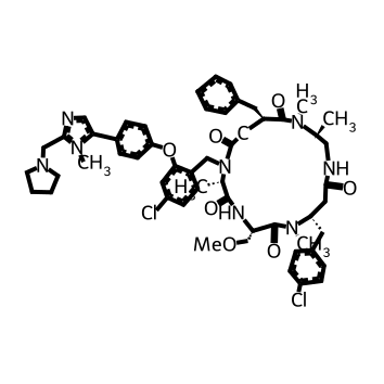 COC[C@@H]1NC(=O)[C@H](C)N(Cc2ccc(Cl)cc2Oc2ccc(-c3cnc(CN4CCCC4)n3C)cc2)C(=O)C[C@@H](Cc2ccccc2)C(=O)N(C)[C@@H](C)CNC(=O)C[C@H](Cc2ccc(Cl)cc2)N(C)C1=O